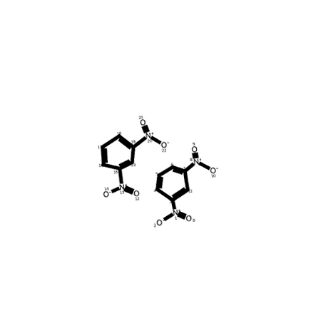 O=[N+]([O-])c1cccc([N+](=O)[O-])c1.O=[N+]([O-])c1cccc([N+](=O)[O-])c1